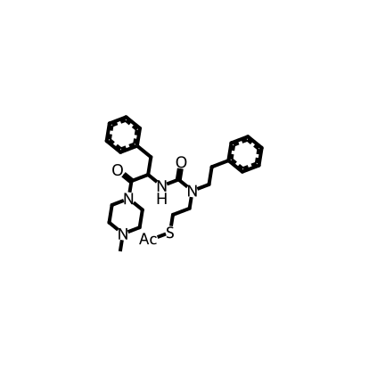 CC(=O)SCCN(CCc1ccccc1)C(=O)NC(Cc1ccccc1)C(=O)N1CCN(C)CC1